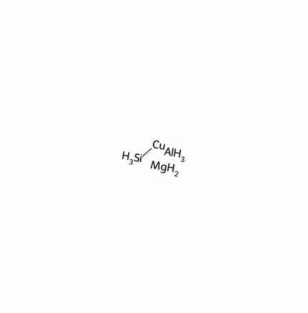 [AlH3].[MgH2].[SiH3][Cu]